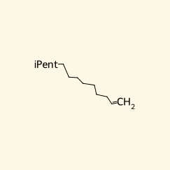 C=CCCCCCCCC(C)CCC